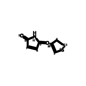 C1=CSSC1.O=C1C=CC(=O)N1